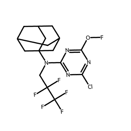 FOc1nc(Cl)nc(N(CC(F)(F)C(F)(F)F)C23CC4CC(CC(C4)C2)C3)n1